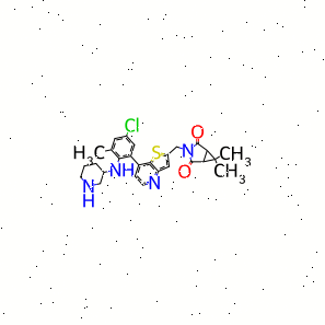 Cc1cc(Cl)cc(-c2ccnc3cc(CN4C(=O)C5C(C4=O)C5(C)C)sc23)c1NC1CCCNC1